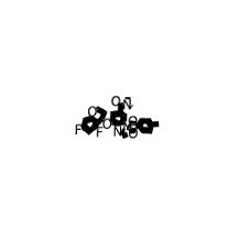 Cc1ccc(S(=O)(=O)n2c(C)nc3c(OC4CCOc5cc(F)cc(F)c54)cc(C(=O)N(C)C)cc32)cc1